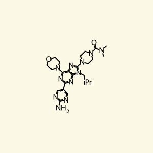 CC(C)Cn1c(N2CCN(C(=O)N(C)C)CC2)nc2c(N3CCOCC3)nc(-c3cnc(N)nc3)nc21